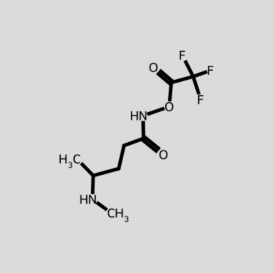 CNC(C)CCC(=O)NOC(=O)C(F)(F)F